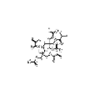 C=C(C)C(=O)OCC(COCC(COC(=O)CC)(COC(=O)C(=C)C)COC(=O)C(=C)C)(COC(=O)CC)COC(=O)CC